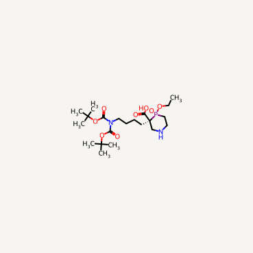 CCOP1(=O)CCNC[C@@]1(CCCCN(C(=O)OC(C)(C)C)C(=O)OC(C)(C)C)C(=O)O